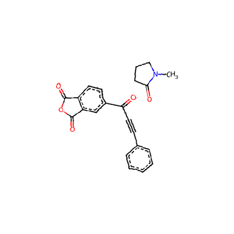 CN1CCCC1=O.O=C(C#Cc1ccccc1)c1ccc2c(c1)C(=O)OC2=O